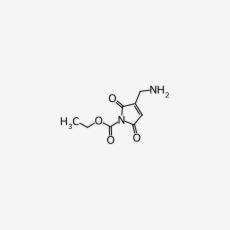 CCOC(=O)N1C(=O)C=C(CN)C1=O